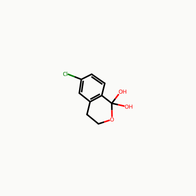 OC1(O)OCCc2cc(Cl)ccc21